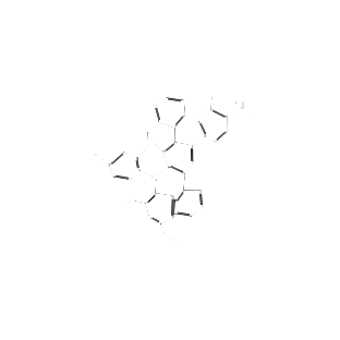 CCc1ccc(N(c2ccc(CC)cc2CC)c2c(-c3ccccc3)cc(-c3ccc(N)c(C)c3)c(-c3ccccc3)c2C)c(CC)c1